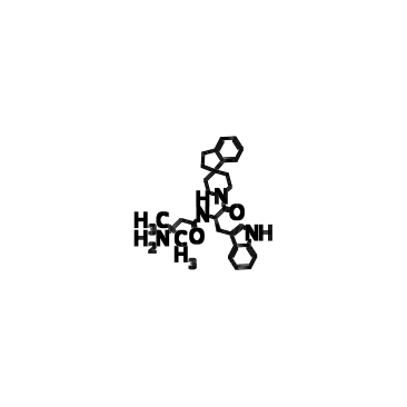 CC(C)(N)CC(=O)N[C@H](Cc1c[nH]c2ccccc12)C(=O)N1CCC2(CCc3ccccc32)CC1